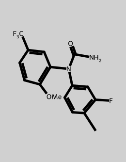 COc1ccc(C(F)(F)F)cc1N(C(N)=O)c1ccc(C)c(F)c1